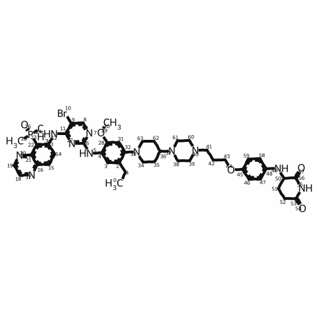 CCc1cc(Nc2ncc(Br)c(Nc3ccc4nccnc4c3P(C)(C)=O)n2)c(OC)cc1N1CCC(N2CCN(CCCOc3ccc(NC4CCC(=O)NC4=O)cc3)CC2)CC1